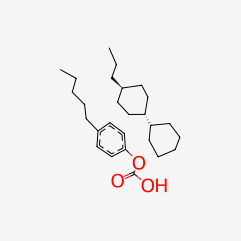 CCCCCc1ccc(OC(=O)O)cc1.CCC[C@H]1CC[C@H](C2CCCCC2)CC1